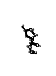 C[C@@H]1CN(C(=O)OC(C)(C)C)SO1